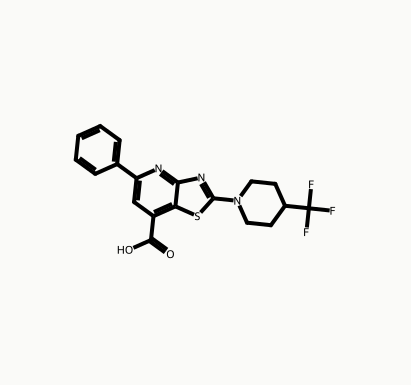 O=C(O)c1cc(-c2ccccc2)nc2nc(N3CCC(C(F)(F)F)CC3)sc12